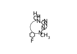 C=C1CCCCc2ccc(F)cc2CN(C)c2ccn3ncc(c3n2)N1